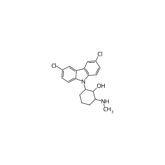 CNC1CCCC(n2c3ccc(Cl)cc3c3cc(Cl)ccc32)C1O